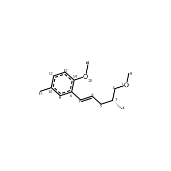 COC[C@H](C)C/C=C/c1cc(C)ccc1OC